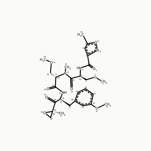 COC[C@H](NC(=O)c1cc(C)on1)C(=O)N(C)[C@@H](COC)C(=O)N[C@@H](Cc1cccc(OC)c1)C(=O)[C@@]1(C)CO1